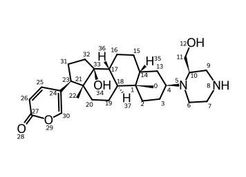 C[C@]12CC[C@H](N3CCNC[C@@H]3CO)C[C@H]1CC[C@@H]1[C@@H]2CC[C@]2(C)[C@@H](c3ccc(=O)oc3)CC[C@]12O